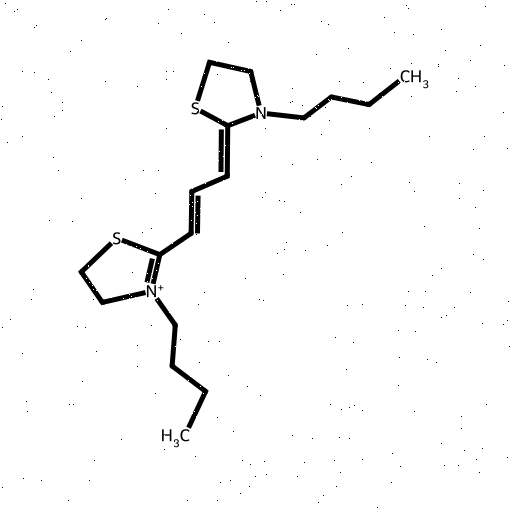 CCCCN1CCSC1=CC=CC1=[N+](CCCC)CCS1